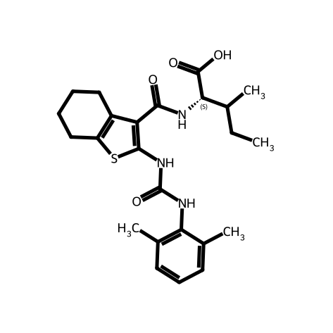 CCC(C)[C@H](NC(=O)c1c(NC(=O)Nc2c(C)cccc2C)sc2c1CCCC2)C(=O)O